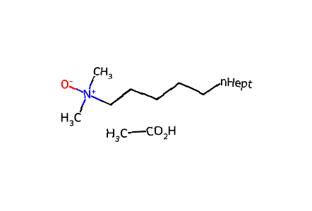 CC(=O)O.CCCCCCCCCCCC[N+](C)(C)[O-]